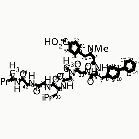 CNC(CC(=O)N[C@@H](Cc1ccc(-c2ccccc2)cc1)C(=O)NCC(=O)N(C)CC(=O)N[C@H](CC(C)C)C(=O)NCC(=O)NCC(=O)NC(C)C(C)C)Cc1ccc(C(=O)O)cc1